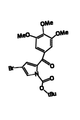 COc1cc(C(=O)c2cc(Br)cn2C(=O)OC(C)(C)C)cc(OC)c1OC